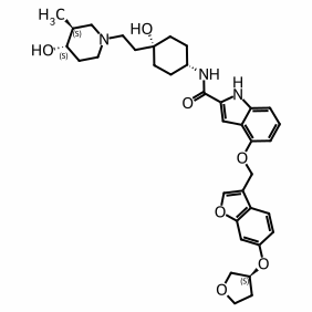 C[C@H]1CN(CC[C@]2(O)CC[C@@H](NC(=O)c3cc4c(OCc5coc6cc(O[C@H]7CCOC7)ccc56)cccc4[nH]3)CC2)CC[C@@H]1O